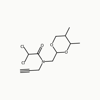 C#CCN(CC1OCC(C)C(C)O1)C(=O)C(Cl)Cl